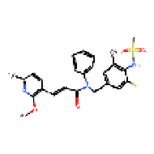 CCC(C)Oc1nc(C(F)(F)F)ccc1C=CC(=O)N(Cc1cc(F)c(NS(C)(=O)=O)c(C#N)c1)c1ccccc1